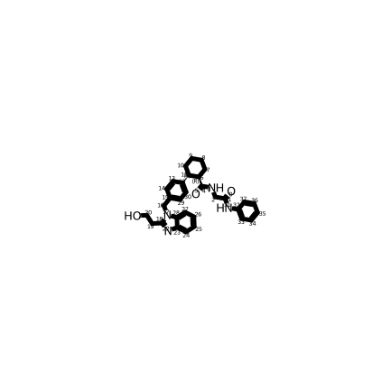 O=C(CNC(=O)[C@@H]1CCCC[C@H]1c1ccc(Cn2c(CCO)nc3ccccc32)cc1)Nc1ccccc1